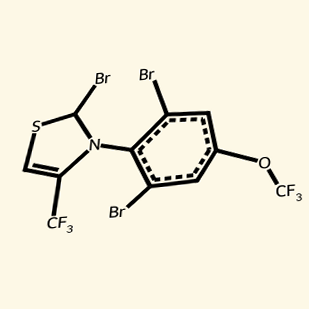 FC(F)(F)Oc1cc(Br)c(N2C(C(F)(F)F)=CSC2Br)c(Br)c1